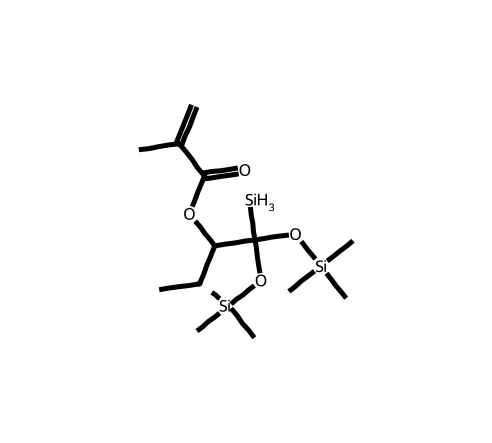 C=C(C)C(=O)OC(CC)C([SiH3])(O[Si](C)(C)C)O[Si](C)(C)C